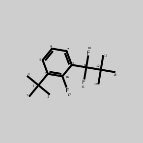 CC(C)(C)c1cccc(C(F)(F)C(C)(C)C)c1F